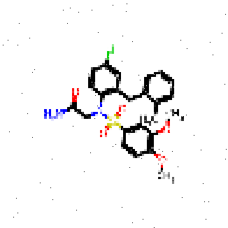 COc1ccc(S(=O)(=O)N(CC(N)=O)c2ccc(Cl)cc2Cc2ccccc2C)cc1OC